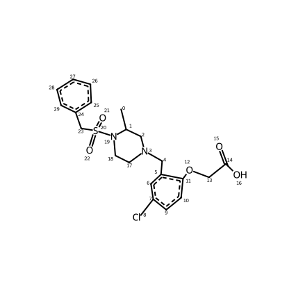 CC1CN(Cc2cc(Cl)ccc2OCC(=O)O)CCN1S(=O)(=O)Cc1ccccc1